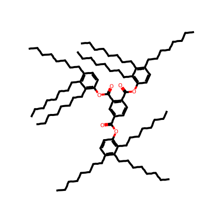 CCCCCCCCc1ccc(OC(=O)c2ccc(C(=O)Oc3ccc(CCCCCCCC)c(CCCCCCCC)c3CCCCCCCC)c(C(=O)Oc3ccc(CCCCCCCC)c(CCCCCCCC)c3CCCCCCCC)c2)c(CCCCCCCC)c1CCCCCCCC